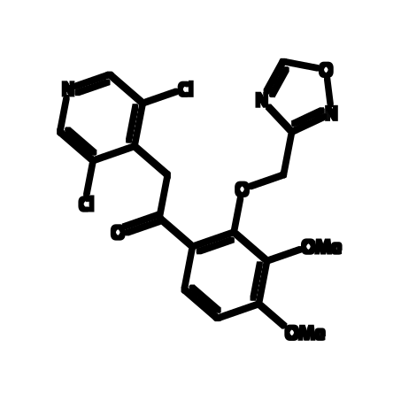 COc1ccc(C(=O)Cc2c(Cl)cncc2Cl)c(OCc2ncon2)c1OC